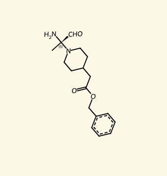 C[C@@](N)(C=O)N1CCC(CC(=O)OCc2ccccc2)CC1